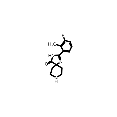 Cc1c(F)cccc1C1=NC2(CCNCC2)C(=O)N1